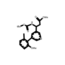 COC(=O)CC(NC(=O)OC(C)(C)C)c1cncc(-c2c(C)cccc2OC)c1